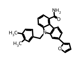 Cc1ccc(Cn2c3cc(-c4ccco4)c[c]c3c3c(C(N)=O)cccc32)cc1C